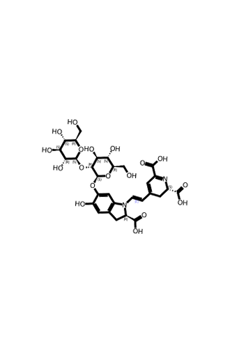 O=C(O)C1=N[C@H](C(=O)O)CC(/C=C/N2c3cc(O[C@@H]4O[C@H](CO)[C@@H](O)[C@H](O)[C@H]4O[C@@H]4O[C@H](CO)[C@@H](O)[C@H](O)[C@H]4O)c(O)cc3C[C@@H]2C(=O)O)=C1